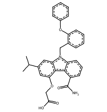 CC(C)c1cc(OCC(=O)O)c2c3c(C(N)=O)cccc3n(Cc3ccccc3Oc3ccccc3)c2c1